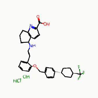 Cl.Cl.O=C(O)c1ccc2c(n1)CCCC2NCCc1ccccc1OCc1ccc([C@H]2CC[C@H](C(F)(F)F)CC2)cc1